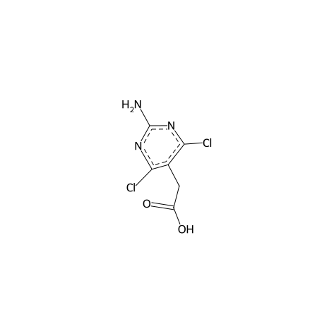 Nc1nc(Cl)c(CC(=O)O)c(Cl)n1